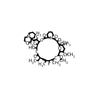 CCC1/C=C(\C)C(F)C(C)CC(OC)C2OC(O)(C(=O)C(=O)N3CCCCC3C(=O)OC(C(C)=CC34CCCCN3CCOC4)C(C)C(O)CC1=O)C(C)CC2OC